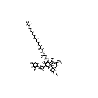 CCCCCCCCCCCCCCCCCCOC(=O)OCOc1c2n(cc(C(=O)NCc3ccc(F)cc3F)c1=O)[C@@H]1CN(C2=O)[C@@H](C)CC[C@]12CC(C)=NO2